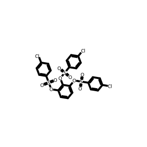 O=S(=O)(Oc1cccc(OS(=O)(=O)c2ccc(Cl)cc2)c1OS(=O)(=O)c1ccc(Cl)cc1)c1ccc(Cl)cc1